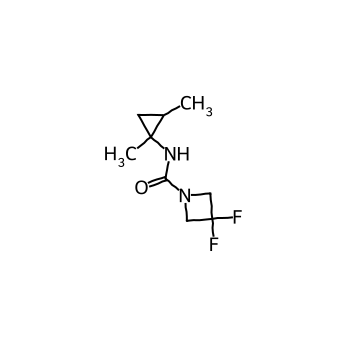 CC1CC1(C)NC(=O)N1CC(F)(F)C1